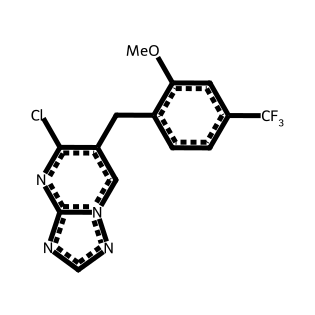 COc1cc(C(F)(F)F)ccc1Cc1cn2ncnc2nc1Cl